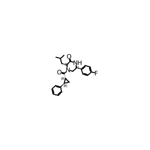 CC(C)C[C@H]1C(=O)N[C@@H](c2ccc(F)cc2)CN1C(=O)[C@@H]1C[C@H]1c1ccccc1